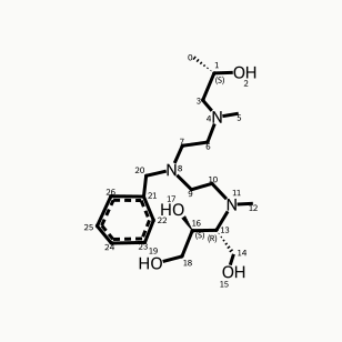 C[C@H](O)CN(C)CCN(CCN(C)[C@H](CO)[C@H](O)CO)Cc1ccccc1